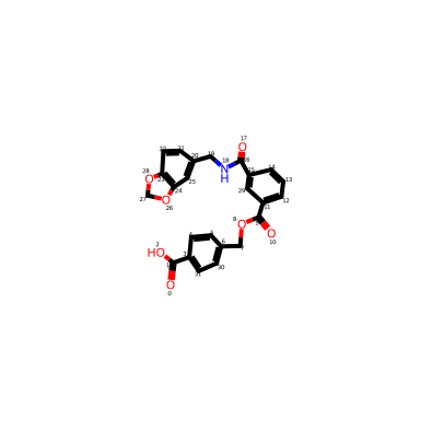 O=C(O)c1ccc(COC(=O)c2cccc(C(=O)NCc3ccc4c(c3)OCO4)c2)cc1